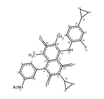 CC(=O)Nc1cccc(-n2c(=O)n(C3CC3)c(=O)c3c(Nc4ccc(C5CC5)cc4F)n(C)c(=O)c(C)c32)c1